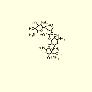 CC(N)C1OC(OC2C(N)CC(N)C(O)C2OC2OC(CO)C(OC3OC(CN)C(O)C(O)C3N)C2O)C(N)CC1O